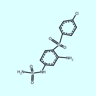 Nc1cc(NS(N)(=O)=O)ccc1S(=O)(=O)c1ccc(Cl)cc1